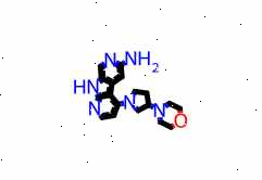 Nc1cc2c(cn1)[nH]c1nccc(N3CCC(N4CCOCC4)C3)c12